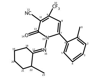 Cc1ccccc1-c1cc(C(F)(F)F)c(C#N)c(=O)n1N=C1CCCCC1C